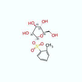 Cc1ccccc1S(=O)(=O)O[C@H]1O[C@H](CO)[C@@H](O)[C@H](O)[C@H]1O